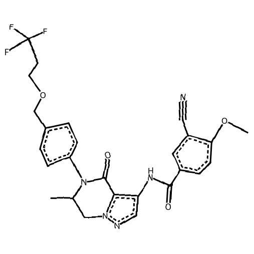 COc1ccc(C(=O)Nc2cnn3c2C(=O)N(c2ccc(COCCC(F)(F)F)cc2)C(C)C3)cc1C#N